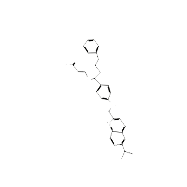 CC(C)c1ccc2nc(COc3ccc(C(CCCc4ccccc4)SCCC(=O)O)cc3)ccc2c1